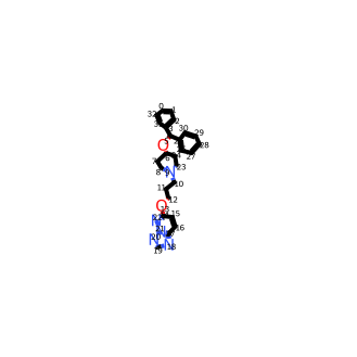 c1ccc(C(OC2CCN(CCCOc3ccc4ncnn4n3)CC2)c2ccccc2)cc1